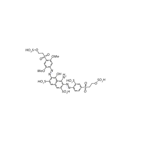 COc1cc(S(=O)(=O)CCOS(=O)(=O)O)c(OC)cc1/N=N/c1c(S(=O)(=O)O)cc2cc(S(=O)(=O)O)c(/N=N/c3ccc(S(=O)(=O)CCOS(=O)(=O)O)cc3S(=O)(=O)O)c(N)c2c1O